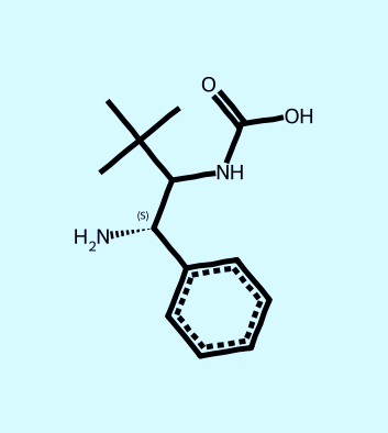 CC(C)(C)C(NC(=O)O)[C@@H](N)c1ccccc1